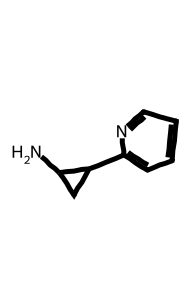 NC1CC1c1ccccn1